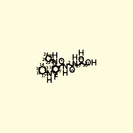 O=C(CNC(=O)c1cc(F)c(NC2CCCCC2)cc1NC1CCCC1)NCC(O)CO